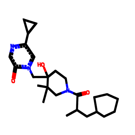 CC(CC1CCCCC1)C(=O)N1CCC(O)(Cn2cc(C3CC3)ncc2=O)C(C)(C)C1